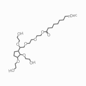 CCCCCCCCCCCCCCCCCC(=O)OCCOCCOCC(OCCO)C1CCC(OCCO)C1OCCO